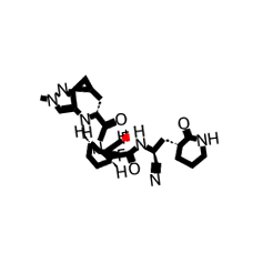 Cn1cc(N[C@H](CC2CC2)C(=O)N2[C@@H]3CC[C@H]([C@@H]2C(=O)N[C@H](C#N)C[C@H]2CCCNC2=O)C(F)(F)C3)cn1